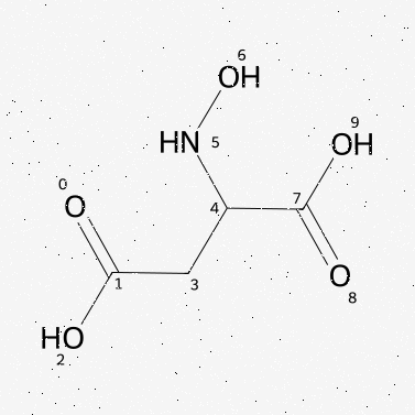 O=C(O)CC(NO)C(=O)O